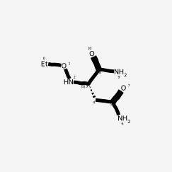 CCON[C@@H](CC(N)=O)C(N)=O